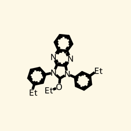 CCOC1N(c2cccc(CC)c2)c2nc3ccccc3nc2N1c1cccc(CC)c1